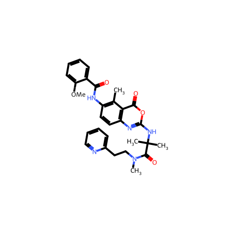 COc1ccccc1C(=O)Nc1ccc2nc(NC(C)(C)C(=O)N(C)CCc3ccccn3)oc(=O)c2c1C